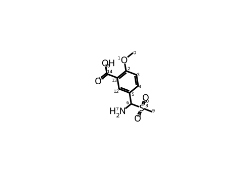 COc1ccc(C(N)S(C)(=O)=O)cc1C(=O)O